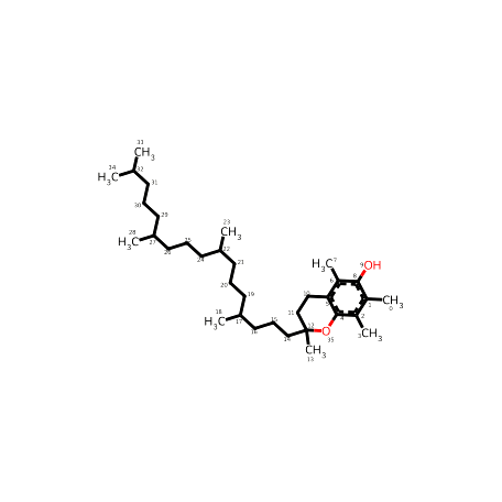 Cc1c(C)c2c(c(C)c1O)CCC(C)(CCCC(C)CCCC(C)CCCC(C)CCCC(C)C)O2